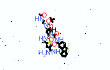 CC(=O)NCCN(C[C@@]12C[C@@H]1N(C(=O)CNC(=O)c1ccc3c(c1)-c1ccccc1C3(F)F)[C@H](C(=O)N[C@H](C)c1cc(C(=N)N)cs1)C2)C(=O)OC(C)(C)C